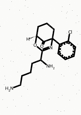 NCCCCC(N)C1=NC2(c3ccccc3Cl)CCC[C@H](O1)C2=O